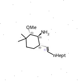 CCCCCCC/C=C/[C@@H]1CCC(C)(C)[C@H](OC)[C@H]1N